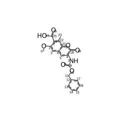 COc1cc2cc(NC(=O)OCc3ccccc3)c(=O)oc2c(C)c1C(=O)O